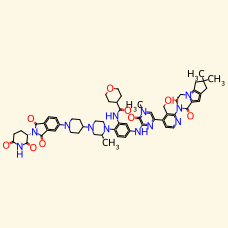 C[C@H]1CN(C2CCN(c3ccc4c(c3)C(=O)N([C@H]3CCC(=O)NC3=O)C4=O)CC2)CCN1c1ccc(Nc2nc(-c3ccnc(N4CCn5c(cc6c5CC(C)(C)C6)C4=O)c3CO)cn(C)c2=O)cc1NC(=O)C1CCOCC1